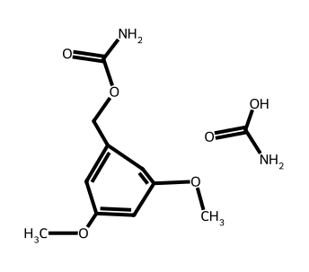 COc1cc(COC(N)=O)cc(OC)c1.NC(=O)O